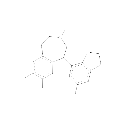 CN1CCc2cc(Cl)c(O)cc2C(c2cc(Cl)cc3c2OCC3)C1